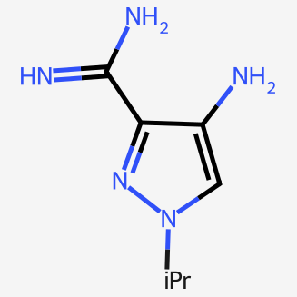 CC(C)n1cc(N)c(C(=N)N)n1